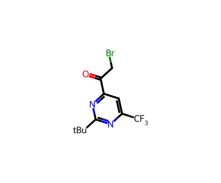 CC(C)(C)c1nc(C(=O)CBr)cc(C(F)(F)F)n1